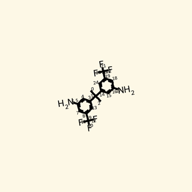 CC(C)(c1cc(N)cc(C(F)(F)F)c1)c1cc(N)cc(C(F)(F)F)c1